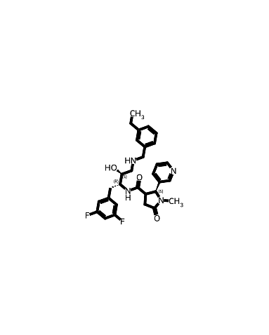 CCc1cccc(CNC[C@H](O)[C@@H](Cc2cc(F)cc(F)c2)NC(=O)C2CC(=O)N(C)[C@@H]2c2cccnc2)c1